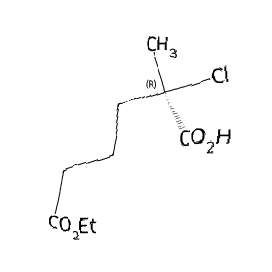 CCOC(=O)CCC[C@@](C)(Cl)C(=O)O